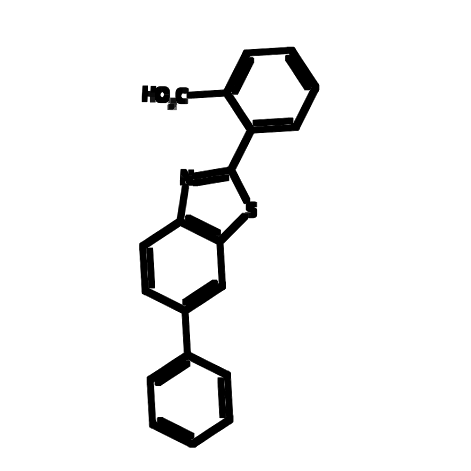 O=C(O)c1ccccc1-c1nc2ccc(-c3ccccc3)cc2s1